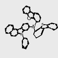 C1=c2c(sc3ccccc23)=C(N(c2ccc3c4c5ccccc5ccc4n(-c4ccccc4)c3c2)c2cccc3c2oc2ccccc23)CC1